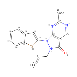 C=CCn1c(=O)c2cnc(SC)nc2n1-c1cc2ccccc2s1